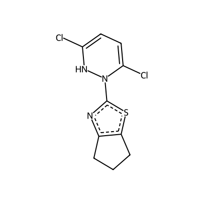 ClC1=CC=C(Cl)N(c2nc3c(s2)CCC3)N1